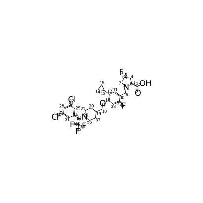 O=C(O)[C@@H]1C[C@@H](F)CN1Cc1cc(C2CC2)c(OCC2CCN([C@H](c3cc(Cl)cc(Cl)c3)C(F)(F)F)CC2)cc1F